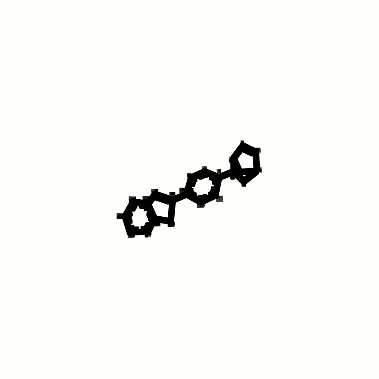 C1=CC2CC1CC2c1ccc(C2=Cc3ccccc3C2)cc1